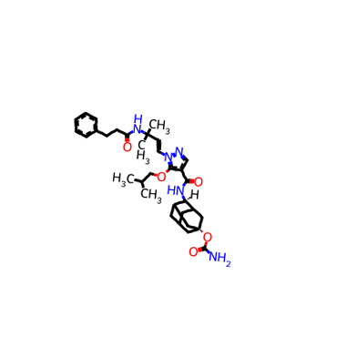 CC(C)COc1c(C(=O)N[C@H]2C3CC4CC2C[C@](OC(N)=O)(C4)C3)cnn1/C=C/C(C)(C)NC(=O)CCc1ccccc1